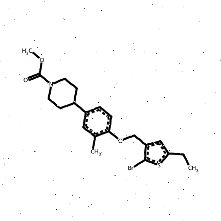 CCc1cc(COc2ccc(C3CCN(C(=O)OC)CC3)cc2C)c(Br)s1